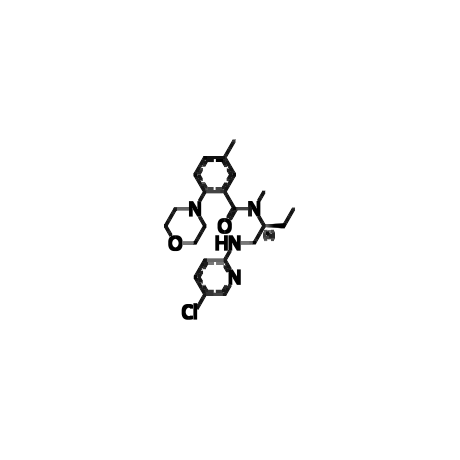 CC[C@@H](CNc1ccc(Cl)cn1)N(C)C(=O)c1cc(C)ccc1N1CCOCC1